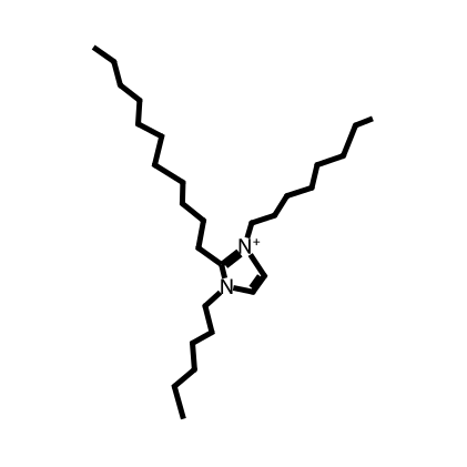 CCCCCCCCCCCc1n(CCCCCC)cc[n+]1CCCCCCCC